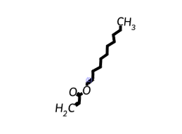 C=CC(=O)O/C=C/CCCCCCCCC